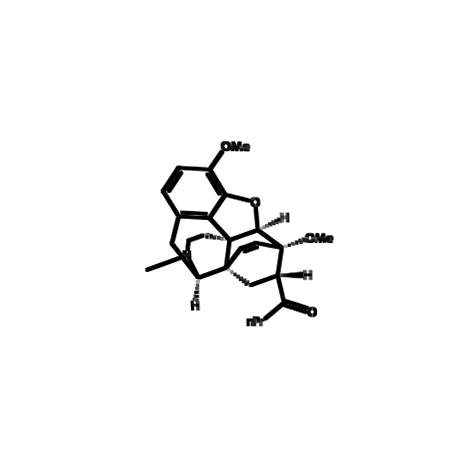 CCCC(=O)[C@@H]1C[C@@]23C=C[C@@]1(OC)[C@@H]1Oc4c(OC)ccc5c4[C@@]12CCN(C)[C@@H]3C5